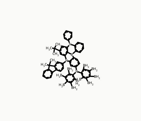 Bc1c(B)c(B)c(N(c2ccc3c(c2)N(c2ccc4c(c2)C(C)(C)c2ccccc2-4)c2cc(C(C)(C)C)cc4c2B3c2ccccc2N4c2ccccc2)c2c(B)c(B)c(B)c(B)c2B)c(B)c1B